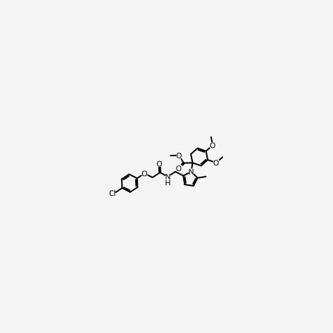 COC(=O)C1(n2c(C)ccc2CNC(=O)COc2ccc(Cl)cc2)C=C(OC)C(OC)=CC1